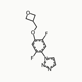 Fc1cc(-n2ccnn2)c(F)cc1OCC1COC1